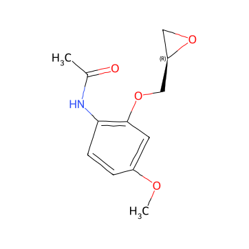 COc1ccc(NC(C)=O)c(OC[C@H]2CO2)c1